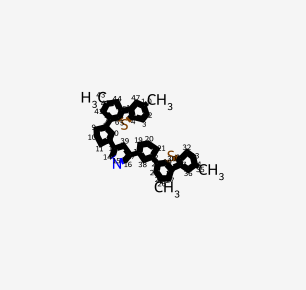 Cc1ccc2sc3c(-c4cccc(-c5cncc(-c6cccc(-c7cc(C)cc8c7sc7ccc(C)cc78)c6)c5)c4)cc(C)cc3c2c1